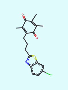 CC1=C(C)C(=O)C(CCCc2nc3ccc(Cl)cc3s2)=C(C)C1=O